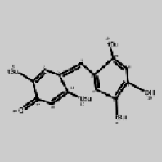 CC(C)(C)C1=CC(=Cc2cc(C(C)(C)C)c(O)cc2C(C)(C)C)C(C(C)(C)C)=CC1=O